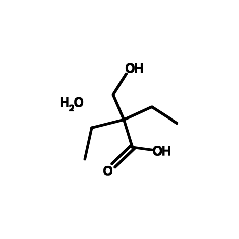 CCC(CC)(CO)C(=O)O.O